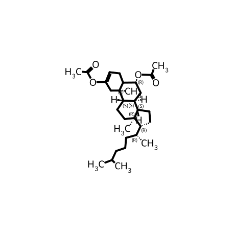 CC(=O)OC1=CCC2[C@H](OC(C)=O)C[C@H]3[C@@H]4CC[C@H]([C@H](C)CCCC(C)C)[C@@]4(C)CC[C@@H]3[C@@]2(C)C1